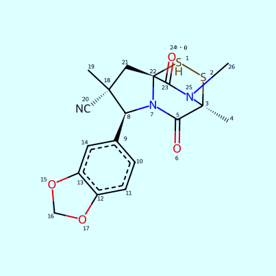 C#[SH]1S[C@@]2(C)C(=O)N3[C@@H](c4ccc5c(c4)OCO5)[C@](C)(C#N)C[C@@]31C(=O)N2C